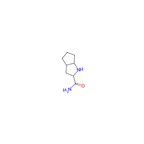 NC(=O)C1CC2CCCC2N1